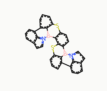 c1cc2c3c(c1)-c1cccc4ccn(c14)B3c1ccc3c(c1S2)B1c2c(cccc2-c2cccc4ccn1c24)S3